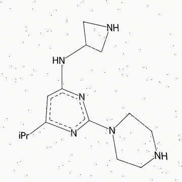 CC(C)c1cc(NC2CNC2)nc(N2CCNCC2)n1